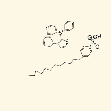 CCCCCCCCCCCCc1ccc(S(=O)(=O)O)cc1.c1ccc(-c2ccsc2[S+](c2ccccc2)c2ccccc2)cc1